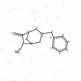 N#CC1C(=O)C2CC1CN(Cc1ccccc1)C2